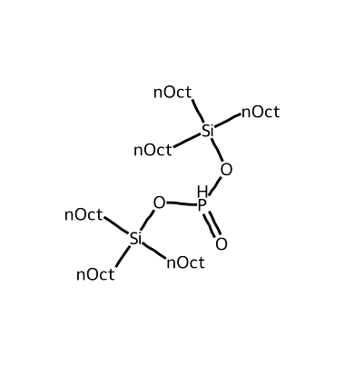 CCCCCCCC[Si](CCCCCCCC)(CCCCCCCC)O[PH](=O)O[Si](CCCCCCCC)(CCCCCCCC)CCCCCCCC